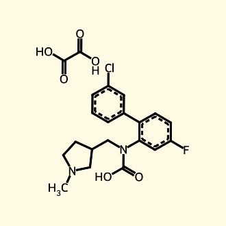 CN1CCC(CN(C(=O)O)c2cc(F)ccc2-c2cccc(Cl)c2)C1.O=C(O)C(=O)O